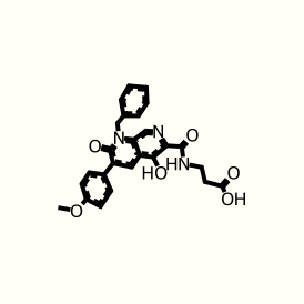 COc1ccc(-c2cc3c(O)c(C(=O)NCCC(=O)O)ncc3n(Cc3ccccc3)c2=O)cc1